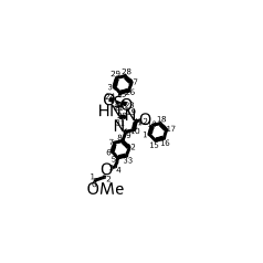 COCCOCc1ccc(-c2cc(Oc3ccccc3)nc(NS(=O)(=O)c3ccccc3)n2)cc1